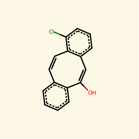 OC1=Cc2cccc(Cl)c2/C=C\c2ccccc21